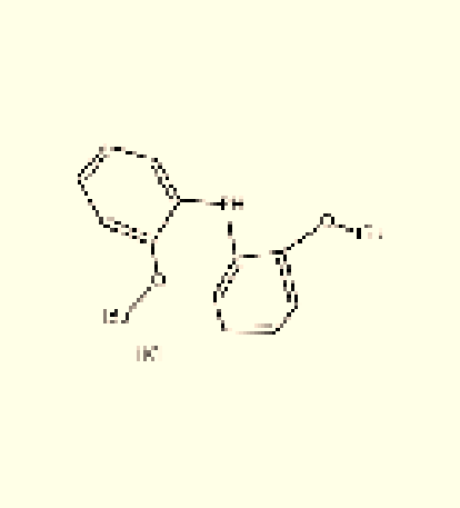 CC(C)(C)Oc1ccccc1Pc1ccccc1OC(C)(C)C.Cl